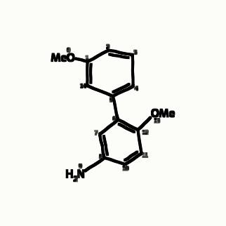 COc1cccc(-c2cc(N)ccc2OC)c1